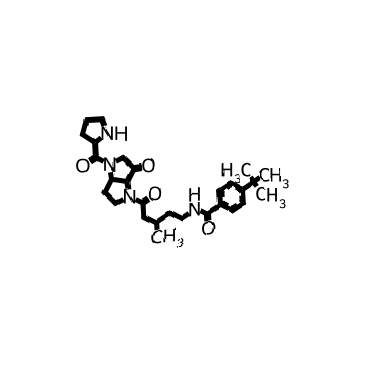 CC(CCNC(=O)c1ccc(C(C)(C)C)cc1)CC(=O)N1CCC2C1C(=O)CN2C(=O)C1CCCN1